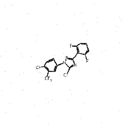 Fc1cccc(F)c1-c1nc(Cl)n(-c2ccc(Cl)c(C(F)(F)F)c2)n1